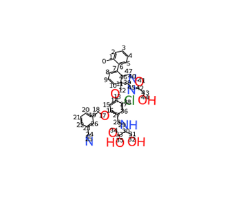 Cc1ccccc1C1=CC=CC(COc2cc(OCc3cccc(C#N)c3)c(CNC(CO)C(=O)O)cc2Cl)(c2noc(CO)n2)C1C